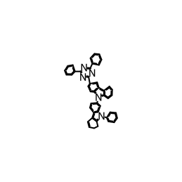 C1=Cc2c(n(-c3ccccc3)c3cc(-n4c5ccccc5c5cc(-c6nc(-c7ccccc7)nc(-c7ccccc7)n6)ccc54)ccc23)CC1